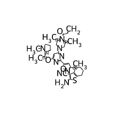 C=CC(=O)N1[C@@H](C)CN(c2cc(O[C@@H](C)[C@@H]3CCCN3C)nc(-c3cc([C@@]4(C)CCCc5sc(N)c(C#N)c54)no3)n2)C[C@@H]1C